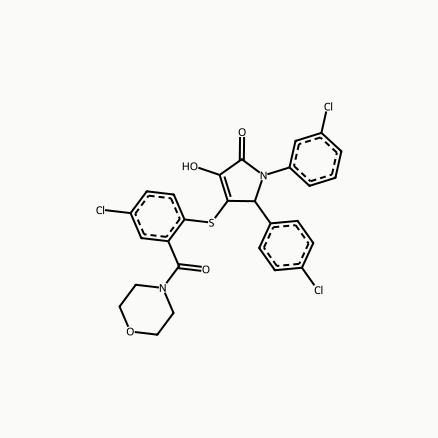 O=C(c1cc(Cl)ccc1SC1=C(O)C(=O)N(c2cccc(Cl)c2)C1c1ccc(Cl)cc1)N1CCOCC1